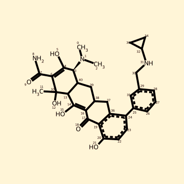 CN(C)[C@@H]1C(O)=C(C(N)=O)C(C)(O)C2C(O)=C3C(=O)c4c(O)ccc(-c5cccc(CNC6CC6)c5)c4CC3CC21